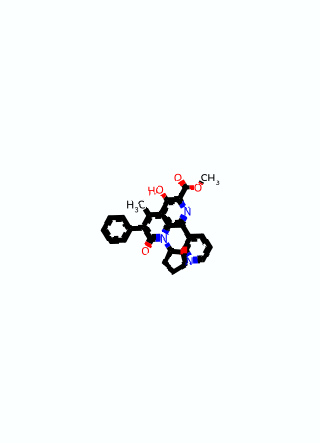 COC(=O)c1nc(-c2cccnc2)c2c(c(C)c(-c3ccccc3)c(=O)n2C2CCCC2)c1O